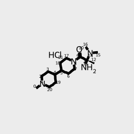 CN1CCC(C2CCN(C(=O)[C@@](C)(N)N(C)C)CC2)CC1.Cl